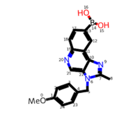 COc1ccc(Cn2c(C)nc3c4cc(B(O)O)ccc4ncc32)cc1